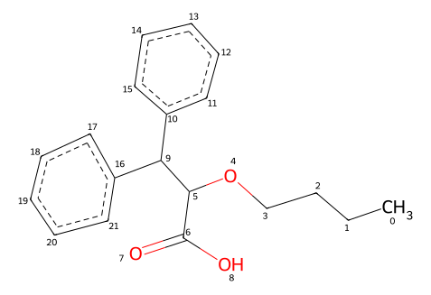 CCCCOC(C(=O)O)C(c1ccccc1)c1ccccc1